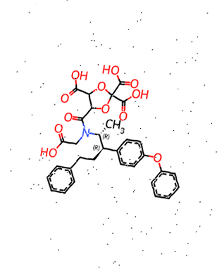 C[C@H]([C@H](CCc1ccccc1)c1ccc(Oc2ccccc2)cc1)N(CC(=O)O)C(=O)C1OC(C(=O)O)(C(=O)O)OC1C(=O)O